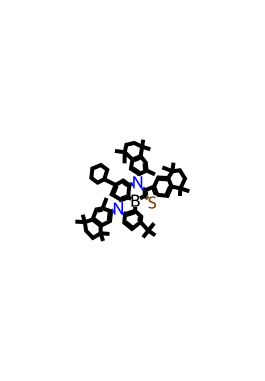 Cc1cc2c(cc1N1c3ccc(C(C)(C)C)cc3B3c4sc5cc6c(cc5c4N(c4cc5c(cc4C)C(C)(C)CCC5(C)C)c4cc(C5CCCCC5)cc1c43)C(C)(C)CCC6(C)C)C(C)(C)CCC2(C)C